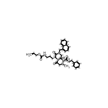 C=CCOC(=O)NCCC[C@H]1C(=O)N(Cc2cccc3ccccc23)C[C@H]2N1C(=O)CN(C)N2C(=O)NCc1ccccc1